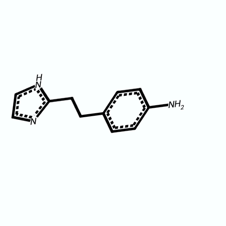 Nc1ccc(CCc2ncc[nH]2)cc1